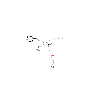 CC(C)(N)C(=O)NC(CCCc1ccccc1)c1nn(COCC[Si](C)(C)C)cc1CCOC(=O)NCC1CC1